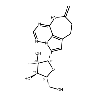 C[C@@]1(O)[C@H](O)[C@@H](CO)O[C@H]1c1cc2c3c(ncnn13)NC(=O)CC2